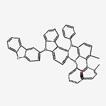 Cc1ccccc1-c1c(C)ccc2c1N(c1ccccc1)c1ccc3c(c1N2c1ccccc1)c1ccccc1n3-c1ccc2oc3ccccc3c2c1